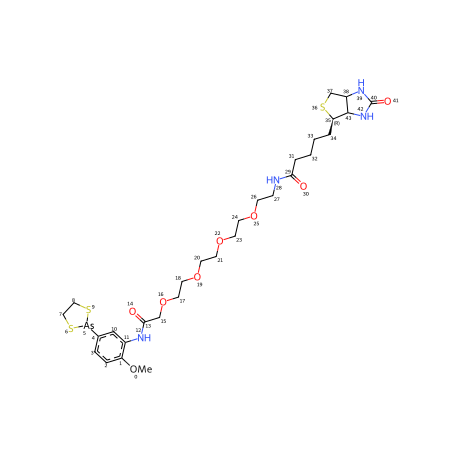 COc1ccc([As]2SCCS2)cc1NC(=O)COCCOCCOCCOCCNC(=O)CCCC[C@H]1SCC2NC(=O)NC21